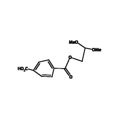 COC(COC(=O)c1ccc(C(=O)O)cc1)OC